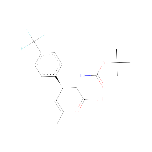 CC=C[C@@H](c1ccc(C(F)(F)F)cc1)[C@H](NC(=O)OC(C)(C)C)C(=O)O